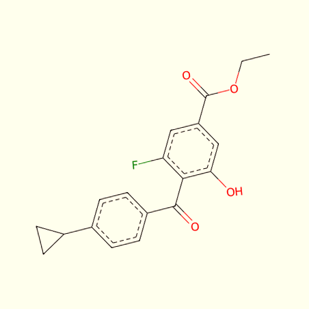 CCOC(=O)c1cc(O)c(C(=O)c2ccc(C3CC3)cc2)c(F)c1